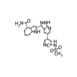 CS(=O)(=O)Nc1cncc(-c2cnc3[nH]nc(-c4cc5c(C(N)=O)cccc5[nH]4)c3c2)c1